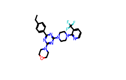 CCc1ccc(-c2nc(N3CCOCC3)nc(N3CCN(c4ncccc4C(F)(F)F)CC3)n2)cc1